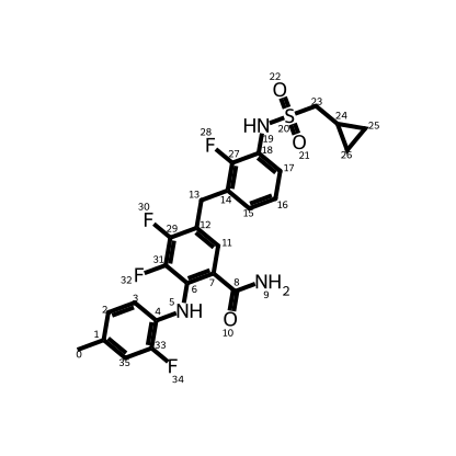 Cc1ccc(Nc2c(C(N)=O)cc(Cc3cccc(NS(=O)(=O)CC4CC4)c3F)c(F)c2F)c(F)c1